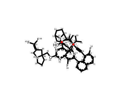 CC1Oc2nc(-c3cccc4ccc(F)c(C#C[Si](C(C)C)(C(C)C)C(C)C)c34)c(F)c3nc(OCC45CCCN4CC(=C(F)F)C5)nc(c23)N2CC3CCC(C12)N3C(=O)O